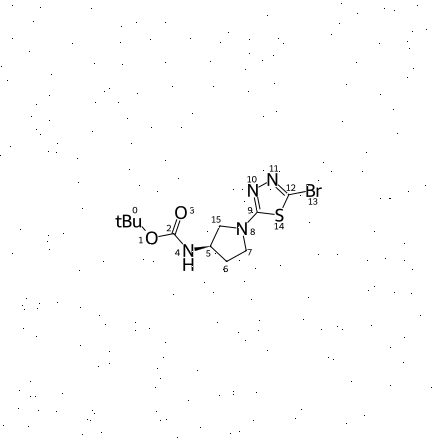 CC(C)(C)OC(=O)N[C@@H]1CCN(c2nnc(Br)s2)C1